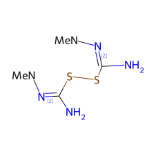 CN/N=C(/N)SS/C(N)=N\NC